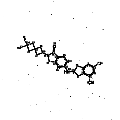 N#Cc1cc(Cl)cc2c1C[C@@H](Nc1ncc3c(n1)CN(C1CC4(C1)CC(F)(F)C4)C3=O)C2